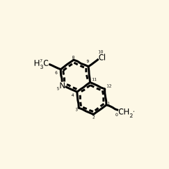 [CH2]c1ccc2nc(C)cc(Cl)c2c1